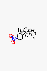 CC(C)(C)C1CCC([N+](=O)[O-])CC1